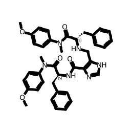 COc1ccc(N(C)C(=O)[C@H](Cc2ccccc2)NCc2[nH]cnc2C(=O)N[C@@H](Cc2ccccc2)C(=O)N(C)c2ccc(OC)cc2)cc1